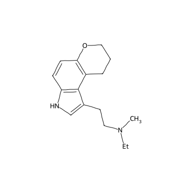 CCN(C)CCc1c[nH]c2ccc3c(c12)CCCO3